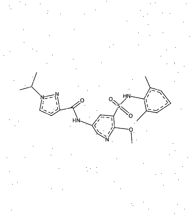 COc1ncc(NC(=O)c2ccn(C(C)C)n2)cc1S(=O)(=O)Nc1c(C)cccc1C